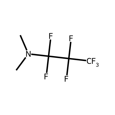 CN(C)C(F)(F)C(F)(F)C(F)(F)F